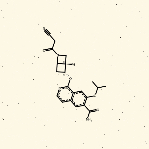 CC(C)Oc1cc2c(O[C@@H]3CC4[C@@H]3CN4C(=O)CC#N)nccc2cc1C(N)=O